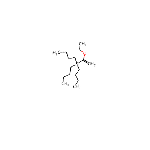 C=C(OCC)[Si](CCCC)(CCCC)CCCC